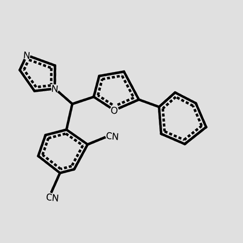 N#Cc1ccc(C(c2ccc(-c3ccccc3)o2)n2ccnc2)c(C#N)c1